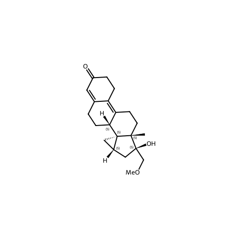 COC[C@]1(O)C[C@@H]2C[C@@]23[C@@H]2CCC4=CC(=O)CCC4=C2CC[C@]13C